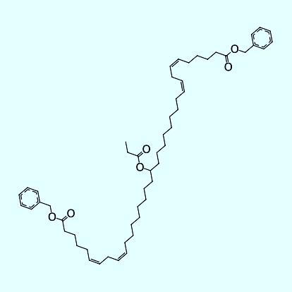 CCC(=O)OC(CCCCCCCC/C=C\C/C=C\CCCCC(=O)OCc1ccccc1)CCCCCCCC/C=C\C/C=C\CCCCC(=O)OCc1ccccc1